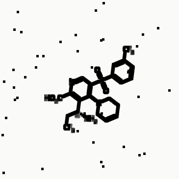 N[C@H](CC(F)(F)F)c1c(C(=O)O)ncc(S(=O)(=O)c2cccc(C(F)(F)F)c2)c1N1CC=CCC1